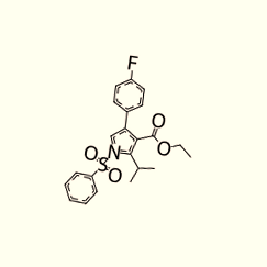 CCOC(=O)c1c(-c2ccc(F)cc2)cn(S(=O)(=O)c2ccccc2)c1C(C)C